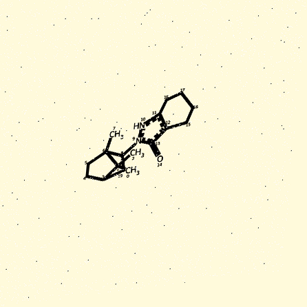 CC1(C)C2CCC1(C)C(n1[nH]c3c(c1=O)CCCC3)C2